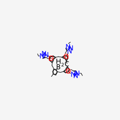 Bc1c2cc(C)cc1Cc1cc(C)cc(c1OCc1cn(CC)nn1)Cc1cc(C)cc(c1OCc1cn(CC)nn1)Cc1cc(C)cc(c1OCc1cn(CC)nn1)C2